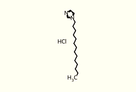 CCCCCCCCCCCCCCn1ccnc1.Cl